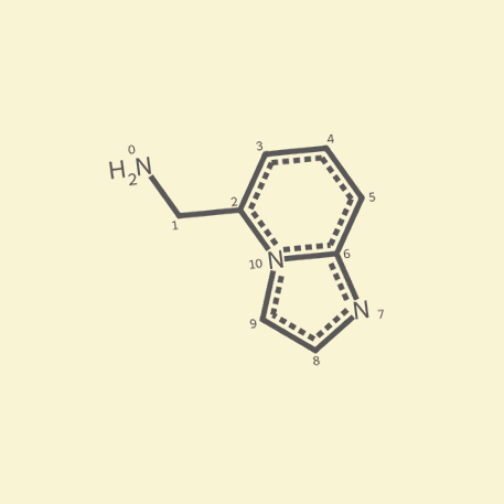 NCc1cccc2nccn12